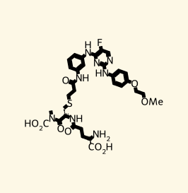 COCCOc1ccc(Nc2ncc(F)c(Nc3cccc(NC(=O)CCSC[C@H](NC(=O)CC[C@H](N)C(=O)O)C(=O)N(C)C(=O)O)c3)n2)cc1